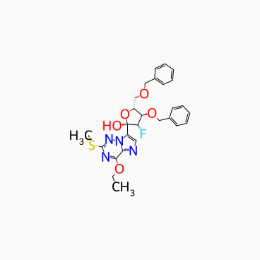 CCOc1nc(SC)nn2c([C@]3(O)O[C@H](COCc4ccccc4)[C@@H](OCc4ccccc4)[C@H]3F)cnc12